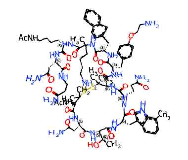 CC(=O)NCCCC[C@H](NC(=O)C(C)(CCCCN)NC(=O)[C@H](Cc1ccc2ccccc2c1)NC(=O)[C@H](Cc1ccc(OCCN)cc1)NC(=O)[C@H]1NC(=O)[C@H](CCC(N)=O)NC(=O)[C@H](Cc2c[nH]c3c(C)cccc23)NC(=O)[C@H]([C@@H](C)O)NC(=O)[C@H](CC(N)=O)NC(=O)[C@@H](NC(C)=O)C(C)(C)SSC1(C)C)C(=O)N[C@@H](CC(N)=O)C(=O)NCCC(N)=O